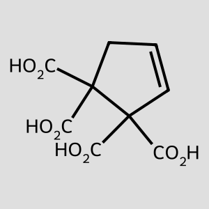 O=C(O)C1(C(=O)O)C=CCC1(C(=O)O)C(=O)O